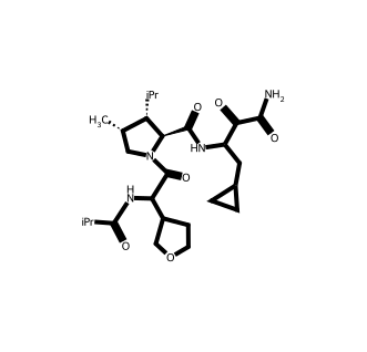 CC(C)C(=O)NC(C(=O)N1C[C@H](C)[C@H](C(C)C)[C@H]1C(=O)NC(CC1CC1)C(=O)C(N)=O)C1CCOC1